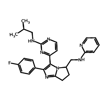 CC(C)CNc1nccc(-c2c(-c3ccc(F)cc3)nc3n2C(CNc2ccccn2)CC3)n1